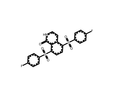 O=c1[nH]ccc2c(S(=O)(=O)c3ccc(F)cc3)ccc(S(=O)(=O)c3ccc(F)cc3)c12